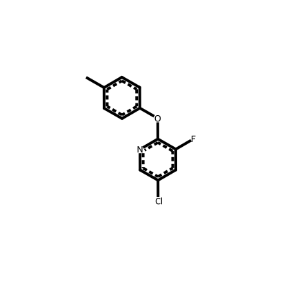 Cc1ccc(Oc2ncc(Cl)cc2F)cc1